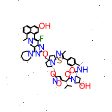 CCc1cccc2cc(O)cc(-c3ncc4c(N5CCCCCC5)nc(OC[C@@]56CCCN5[C@H](COc5cc([C@H](C(=O)N7C[C@H](O)C[C@H]7C(=O)N[C@@H](C)c7ccc(-c8scnc8C)cc7)C(C)C)on5)CC6)nc4c3F)c12